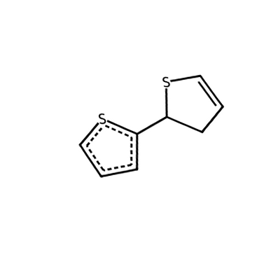 C1=CSC(c2cccs2)C1